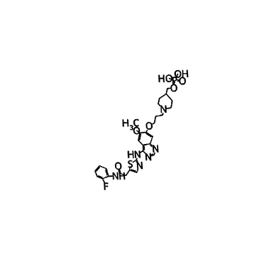 COc1cc2c(Nc3ncc(CC(=O)Nc4ccccc4F)s3)ncnc2cc1OCCCN1CCC(COP(=O)(O)O)CC1